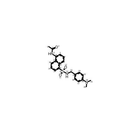 CC(=O)Nc1cccc2c(S(=O)(=O)NCc3ccc(N(C)C)cc3)cccc12